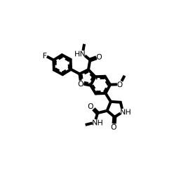 CNC(=O)c1c(-c2ccc(F)cc2)oc2cc(C3CNC(=O)C3C(=O)NC)c(OC)cc12